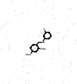 COc1ccc(CNc2[c]ccc(F)c2)c(OC)c1